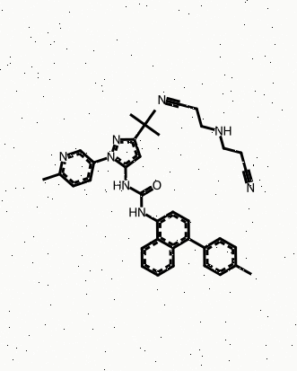 Cc1ccc(-c2ccc(NC(=O)Nc3cc(C(C)(C)C)nn3-c3ccc(C)nc3)c3ccccc23)cc1.N#CCCNCCC#N